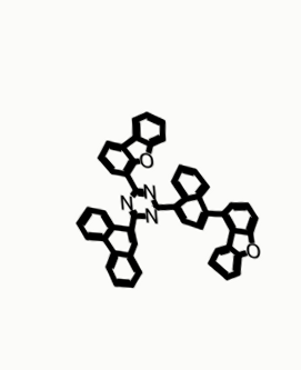 c1ccc2c(c1)cc(-c1nc(-c3ccc(-c4cccc5oc6ccccc6c45)c4ccccc34)nc(-c3cccc4c3oc3ccccc34)n1)c1ccccc12